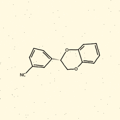 N#Cc1cccc([C@H]2COc3ccccc3O2)c1